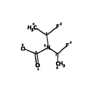 CC(F)N(C(=O)Cl)C(C)F